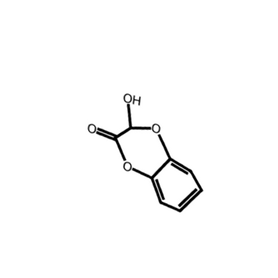 O=C1Oc2ccccc2OC1O